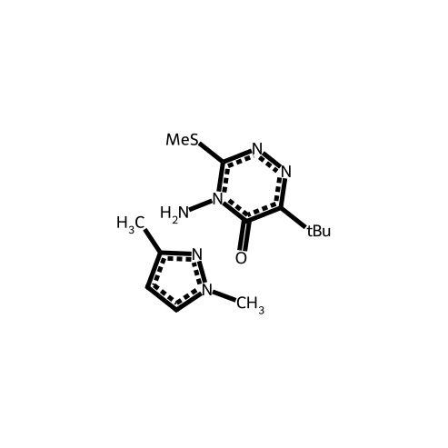 CSc1nnc(C(C)(C)C)c(=O)n1N.Cc1ccn(C)n1